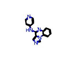 c1ccc2c(c1)nc(Nc1ccncc1)c1cncn12